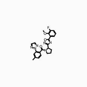 COc1c(F)cccc1-c1nc(C2CCCN2C(=O)c2ccc(C)cc2-n2nccn2)no1